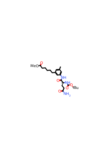 COC(=O)CCCCCc1cc(C)cc(NC(=O)[C@H](CCC(N)=O)NC(=O)OC(C)(C)C)c1